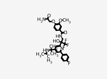 COc1cc(C(=O)NCC(O)(c2cc(C(C)(C)NC(C)C)cc(-c3ccc(F)cc3)n2)C(F)(F)F)ccc1OCC(N)=O